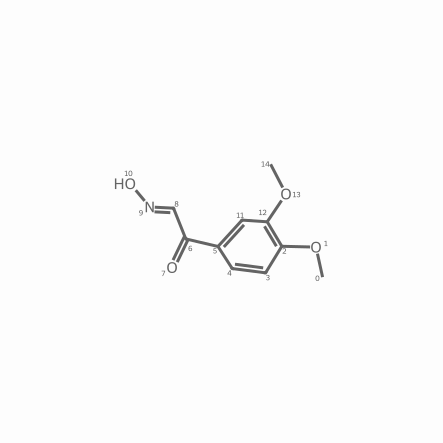 COc1ccc(C(=O)C=NO)cc1OC